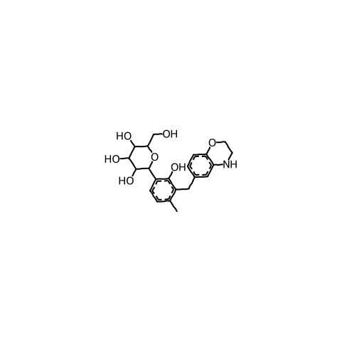 Cc1ccc(C2OC(CO)C(O)C(O)C2O)c(O)c1Cc1ccc2c(c1)NCCO2